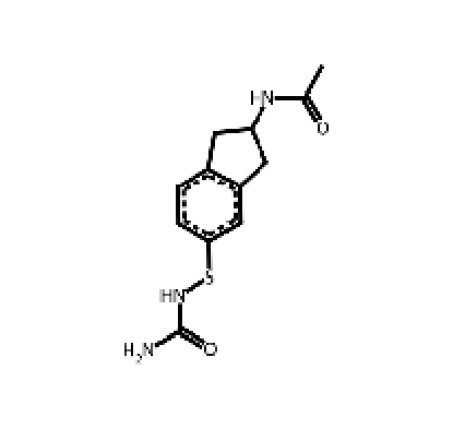 CC(=O)NC1Cc2ccc(SNC(N)=O)cc2C1